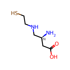 N[C@H](CNCCS)CC(=O)O